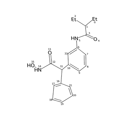 CCC(CC)C(=O)Nc1cccc(C(C(=O)NO)c2ccccc2)c1